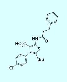 CC(C)(C)c1sc(NC(=O)CCc2ccccc2)c(C(=O)O)c1-c1ccc(Cl)cc1